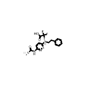 NC(=O)Nc1ccc(NCCc2ccccc2)nn1.O=C(O)C(F)(F)F